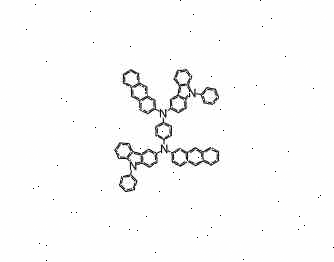 c1ccc(-n2c3ccccc3c3cc(N(c4ccc(N(c5ccc6cc7ccccc7cc6c5)c5ccc6c(c5)c5ccccc5n6-c5ccccc5)cc4)c4ccc5cc6ccccc6cc5c4)ccc32)cc1